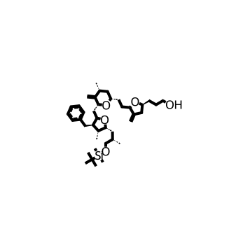 C=C1C[C@H](CCCO)OC1CC[C@H]1C[C@@H](C)C(=C)[C@@H](CC2O[C@H](C[C@H](C)CO[Si](C)(C)C(C)(C)C)[C@H](C)[C@H]2Cc2ccccc2)O1